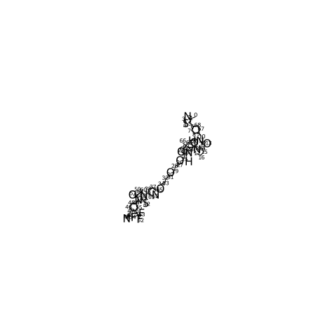 Cc1ncsc1-c1ccc(CNC(=O)[C@@H]2CCCN2C(=O)[C@@H](NC(=O)COCCCOCCCCOc2ccc(N3C(=S)N(c4ccc(C#N)c(C(F)(F)F)c4)C(=O)C3(C)C)cn2)C(C)(C)C)cc1